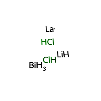 Cl.Cl.[BiH3].[La].[LiH]